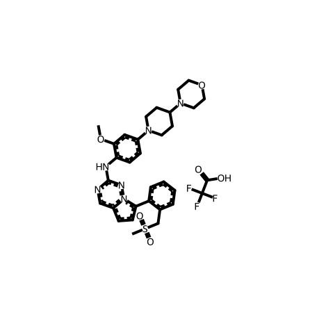 COc1cc(N2CCC(N3CCOCC3)CC2)ccc1Nc1ncc2ccc(-c3ccccc3CS(C)(=O)=O)n2n1.O=C(O)C(F)(F)F